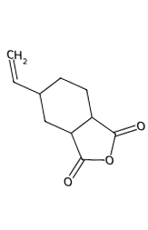 C=CC1CCC2C(=O)OC(=O)C2C1